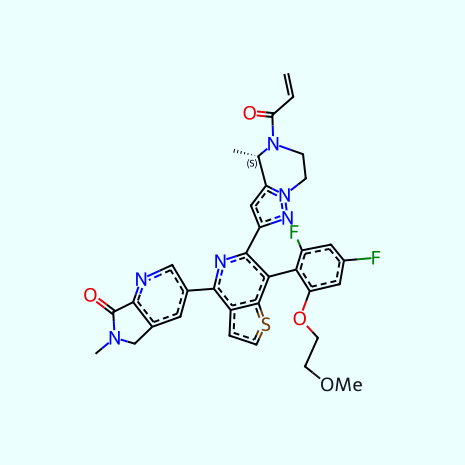 C=CC(=O)N1CCn2nc(-c3nc(-c4cnc5c(c4)CN(C)C5=O)c4ccsc4c3-c3c(F)cc(F)cc3OCCOC)cc2[C@@H]1C